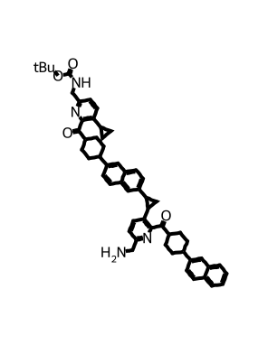 CC(C)(C)OC(=O)NCc1ccc(C2CC2)c(C(=O)C2CCC(c3ccc4cc(C5CC5c5ccc(CN)nc5C(=O)C5CCC(c6ccc7ccccc7c6)CC5)ccc4c3)CC2)n1